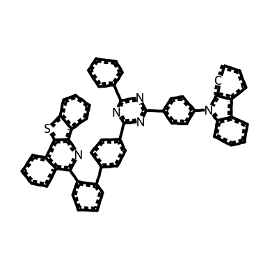 c1ccc(-c2nc(-c3ccc(-c4ccccc4-c4nc5c6ccccc6sc5c5ccccc45)cc3)nc(-c3ccc(-n4c5ccccc5c5ccccc54)cc3)n2)cc1